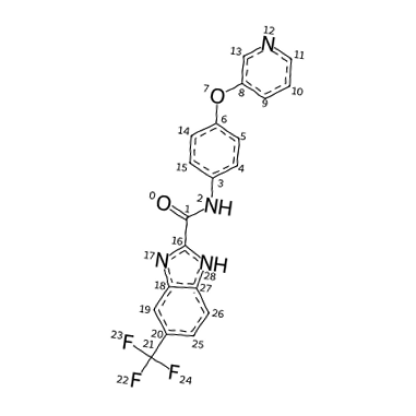 O=C(Nc1ccc(Oc2cccnc2)cc1)c1nc2cc(C(F)(F)F)ccc2[nH]1